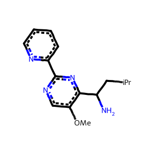 COc1cnc(-c2ccccn2)nc1C(N)CC(C)C